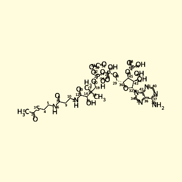 CC(=O)SCCNC(=O)CCNC(=O)C(O)C(C)(C)COP(=O)(O)OP(=O)(O)OC[C@H]1O[C@@H](n2cnc3c(N)ncnc32)[C@H](O)[C@@H]1OP(=O)(O)O.O=C=O